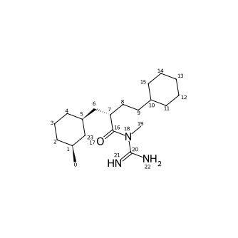 C[C@H]1CCC[C@@H](C[C@H](CCC2CCCCC2)C(=O)N(C)C(=N)N)C1